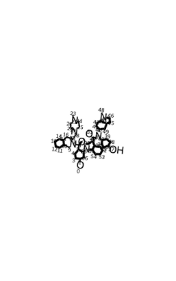 COc1ccc(C(=O)N2Cc3ccccc3C[C@H]2CN2CCN(C)CC2)c(-n2cc(C(=O)N(c3ccc(O)cc3)c3ccc4c(ccn4C)c3)c3ccccc32)c1